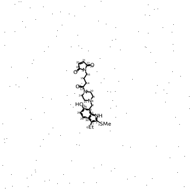 CCc1c(SC)[nH]c2c(CN3CCN(C(=O)CCCN4C(=O)C=CC4=O)CC3)c(O)ccc12